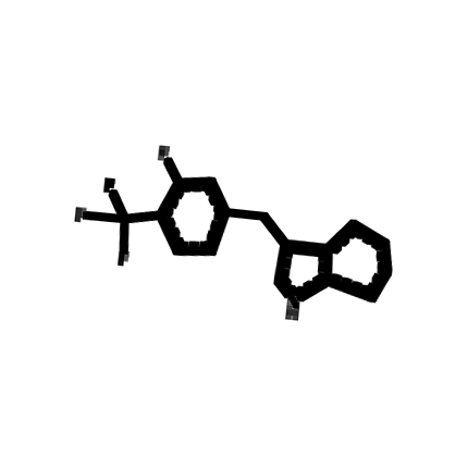 Fc1cc(Cc2c[nH]c3ccccc23)ccc1C(F)(F)F